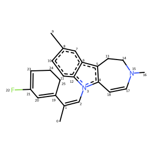 C/C(=C/n1c2c(c3cc(C)ccc31)CCN(C)C=C2)C1=CC(F)=CCC1